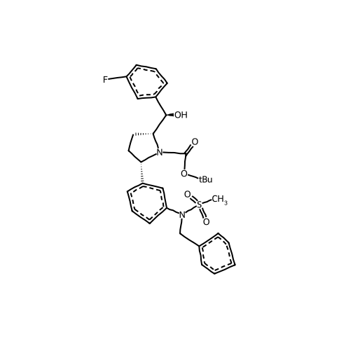 CC(C)(C)OC(=O)N1[C@@H]([C@H](O)c2cccc(F)c2)CC[C@H]1c1cccc(N(Cc2ccccc2)S(C)(=O)=O)c1